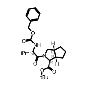 CC(C)[C@H](NC(=O)OCc1ccccc1)C(=O)N1C[C@@H]2CCC[C@@H]2[C@H]1C(=O)OC(C)(C)C